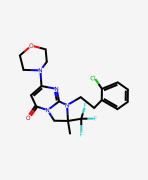 CC1(C(F)(F)F)Cn2c(nc(N3CCOCC3)cc2=O)N1CCc1ccccc1Cl